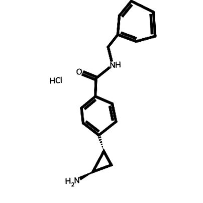 Cl.N[C@@H]1C[C@H]1c1ccc(C(=O)NCc2ccccc2)cc1